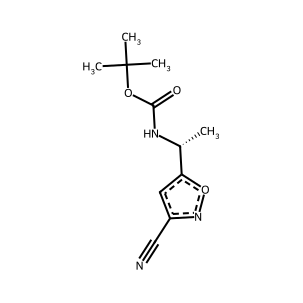 C[C@@H](NC(=O)OC(C)(C)C)c1cc(C#N)no1